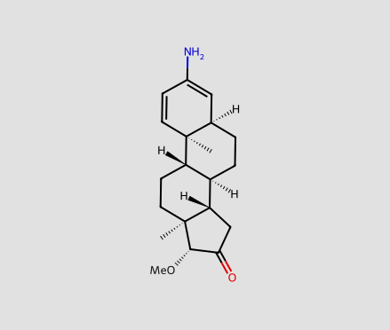 CO[C@H]1C(=O)C[C@H]2[C@@H]3CC[C@@H]4C=C(N)C=C[C@]4(C)[C@H]3CC[C@]12C